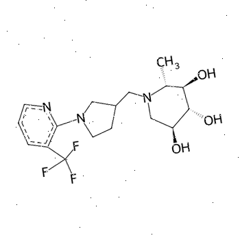 C[C@@H]1[C@@H](O)[C@H](O)[C@@H](O)CN1CC1CCN(c2ncccc2C(F)(F)F)C1